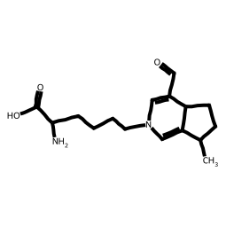 CC1CCC2C(C=O)=CN(CCCCC(N)C(=O)O)C=C12